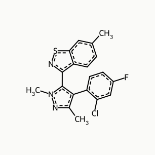 Cc1ccc2c(-c3c(-c4ccc(F)cc4Cl)c(C)nn3C)nsc2c1